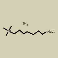 B.CCCCCCCCCCCCCC[N+](C)(C)C